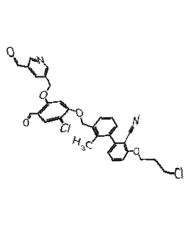 Cc1c(COc2cc(OCc3cncc(C=O)c3)c(C=O)cc2Cl)cccc1-c1cccc(OCCCCl)c1C#N